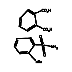 CCCCc1ccccc1S(N)(=O)=O.O=C(O)c1ccccc1C(=O)O